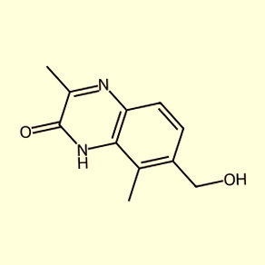 Cc1nc2ccc(CO)c(C)c2[nH]c1=O